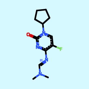 CN(C)/C=N/c1nc(=O)n(C2CCCC2)cc1F